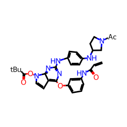 C=CC(=O)Nc1cccc(Oc2nc(Nc3ccc(NC4CCN(C(C)=O)C4)cc3)nc3c2ccn3OC(=O)C(C)(C)C)c1